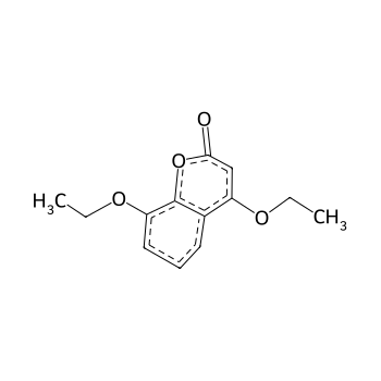 CCOc1cc(=O)oc2c(OCC)cccc12